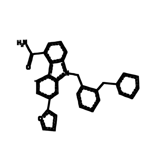 NC(=O)c1cccc2c1c1[c]cc(-c3ccco3)cc1n2Cc1ccccc1Cc1ccccc1